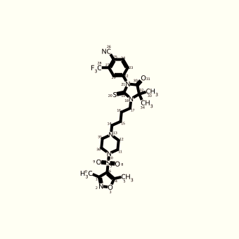 Cc1noc(C)c1S(=O)(=O)N1CCN(CCCCN2C(=S)N(c3ccc(C#N)c(C(F)(F)F)c3)C(=O)C2(C)C)CC1